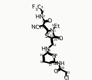 CCn1c(=C(C#N)C(=O)NCC(F)(F)F)sc(=CNc2cccc(NC(=O)CCl)n2)c1=O